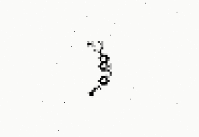 NCCc1ccc2nc(Oc3ccc(NCC4CC4)cc3)ccc2c1